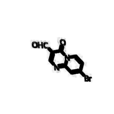 O=Cc1cnc2cc(Br)ccn2c1=O